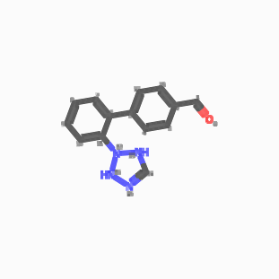 O=Cc1ccc(-c2ccccc2N2NC=NN2)cc1